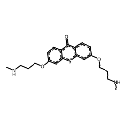 CNCCCOc1ccc2c(=O)c3ccc(OCCCNC)cc3sc2c1